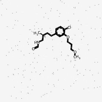 COCCCOc1cc(CC[C@H](C)CNC=O)ccc1Cl